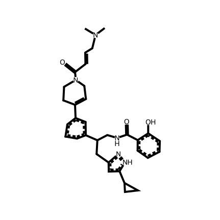 CN(C)C/C=C/C(=O)N1CC=C(c2cccc(C(CNC(=O)c3ccccc3O)Cc3cc(C4CC4)[nH]n3)c2)CC1